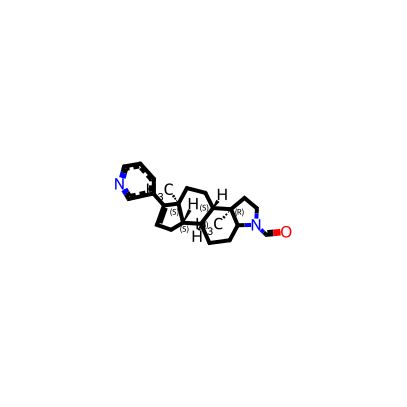 C[C@]12CCN(C=O)C1CC[C@@H]1[C@@H]2CC[C@]2(C)C(c3cccnc3)=CC[C@@H]12